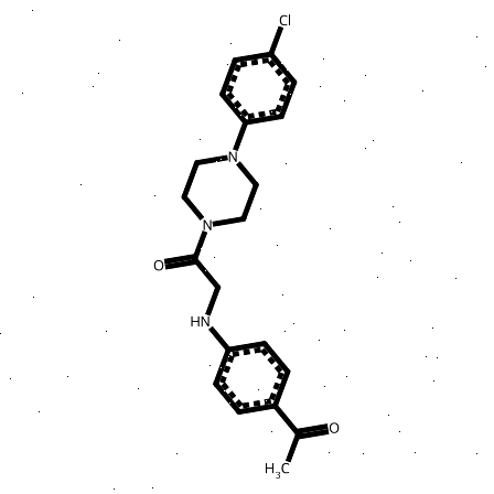 CC(=O)c1ccc(NCC(=O)N2CCN(c3ccc(Cl)cc3)CC2)cc1